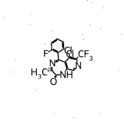 C[C@@H]1N=C(c2c(F)cccc2Cl)c2c(cnc(C(F)(F)F)c2Cl)NC1=O